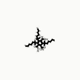 CCCCCC(C)(C)c1c(C(=O)O)c(C(=O)O)c(C(C)(C)CCCCC)c(C(C)(C)CCCCC)c1C(=O)O